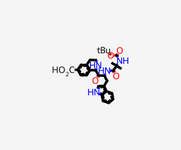 CC(C)(C)OC(=O)NC(C)(C)C(=O)NC(Cc1c[nH]c2ccccc12)C(=O)C1NCCc2cc(C(=O)O)ccc21